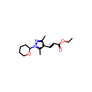 CCOC(=O)/C=C/c1c(C)nn(C2CCCCO2)c1C